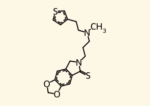 CN(CCCN1Cc2cc3c(cc2C1=S)OCO3)CCc1ccsc1